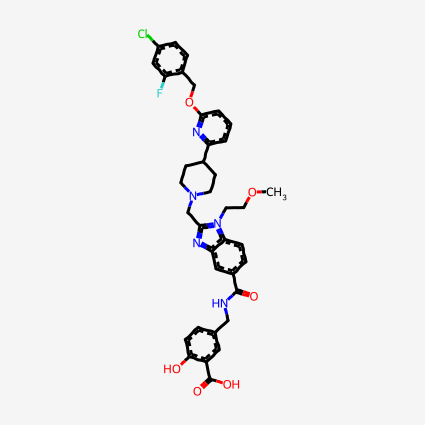 COCCn1c(CN2CCC(c3cccc(OCc4ccc(Cl)cc4F)n3)CC2)nc2cc(C(=O)NCc3ccc(O)c(C(=O)O)c3)ccc21